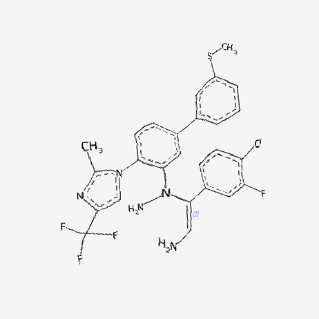 CSc1cccc(-c2ccc(-n3cc(C(F)(F)F)nc3C)c(N(N)/C(=C\N)c3ccc(Cl)c(F)c3)c2)c1